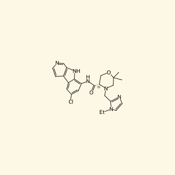 CCn1ccnc1CN1CC(C)(C)OC[C@H]1C(=O)Nc1cc(Cl)cc2c1[nH]c1cnccc12